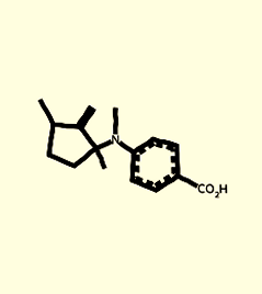 C=C1C(C)CCC1(C)N(C)c1ccc(C(=O)O)cc1